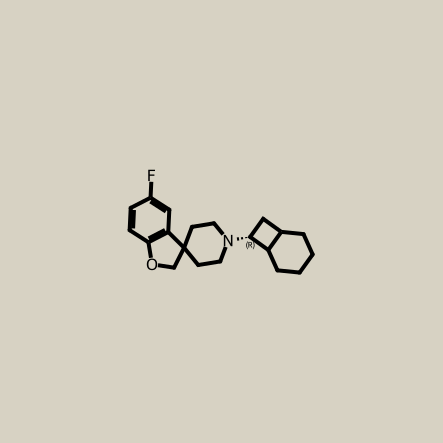 Fc1ccc2c(c1)C1(CCN([C@@H]3CC4CCCCC43)CC1)CO2